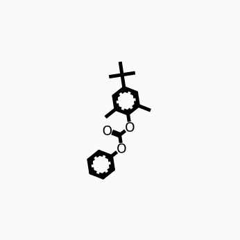 Cc1cc(C(C)(C)C)cc(C)c1OC(=O)Oc1ccccc1